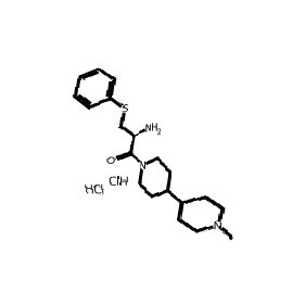 CN1CCC(C2CCN(C(=O)[C@H](N)CSc3ccccc3)CC2)CC1.Cl.Cl